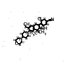 CCc1cc2c(cc1N1CCC(N3CCOCC3)CC1)C(C)(C)c1[nH]c3c(c1C2)C(=O)CC(C#N)=C3